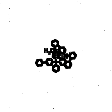 CC1(C)c2ccccc2-c2ccc(N(c3ccccc3-c3ccccc3)c3cccc4c3-c3ccccc3C4(c3ccccc3)c3ccc(-c4ccccc4)cc3)cc21